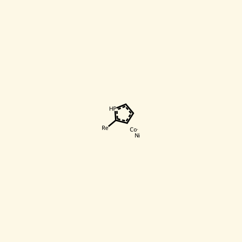 [Co].[Ni].[Re][c]1ccc[pH]1